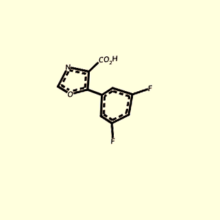 O=C(O)c1ncoc1-c1cc(F)cc(F)c1